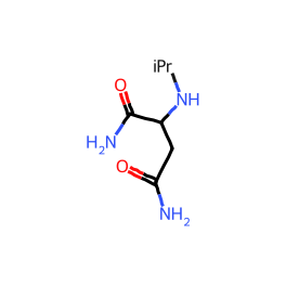 CC(C)NC(CC(N)=O)C(N)=O